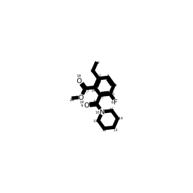 CCc1ccc(F)c(C(=O)N2CCCCC2)c1C(=O)OC